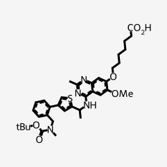 COc1cc2c(NC(C)c3cc(-c4ccccc4CN(C)C(=O)OC(C)(C)C)cs3)nc(C)nc2cc1OCCCCCCC(=O)O